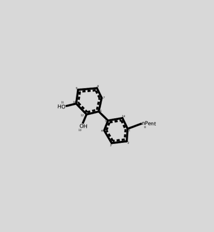 CCCCCc1cccc(-c2cccc(O)c2O)c1